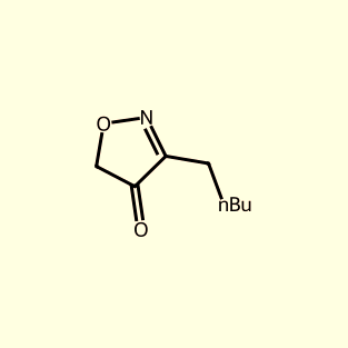 [CH2]CCCCC1=NOCC1=O